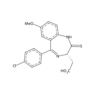 COc1ccc2c(c1)C(c1ccc(Cl)cc1)=N[C@@H](CC(=O)O)C(=S)N2